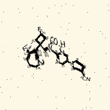 N#Cc1ccn(-c2cnc(N(C[C@]3(c4ncccc4F)C[C@H](F)C3)C(=O)O)nc2)c1